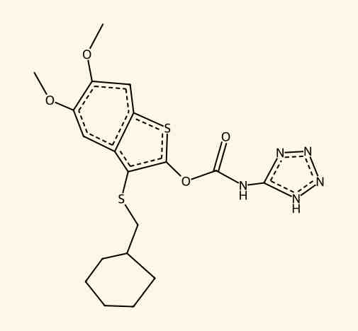 COc1cc2sc(OC(=O)Nc3nnn[nH]3)c(SCC3CCCCC3)c2cc1OC